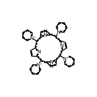 C1=Cc2nc1c(-[n+]1ccccc1)c1ccc([nH]1)c(-[n+]1ccccc1)c1nc(c(-[n+]3ccccc3)c3ccc([nH]3)c2-[n+]2ccccc2)C=C1